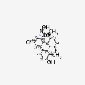 COc1ccc(F)cc1-c1c(/C(N)=N/O)cc(Cl)cc1-c1ccc(O)c(C)c1